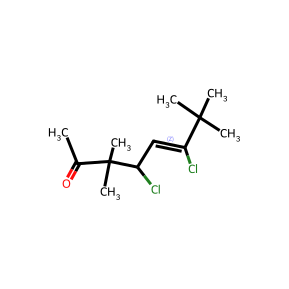 CC(=O)C(C)(C)C(Cl)/C=C(\Cl)C(C)(C)C